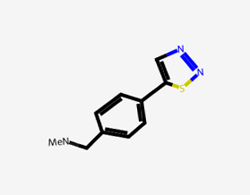 CNCc1ccc(-c2cnns2)cc1